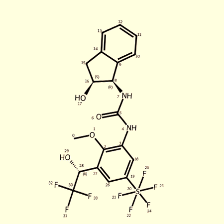 COc1c(NC(=O)N[C@@H]2c3ccccc3C[C@@H]2O)cc(S(F)(F)(F)(F)F)cc1[C@@H](O)C(F)(F)F